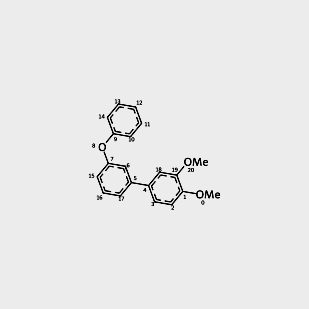 COc1ccc(-c2[c]c(Oc3ccccc3)ccc2)cc1OC